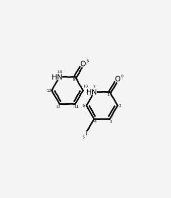 O=c1ccc(I)c[nH]1.O=c1cccc[nH]1